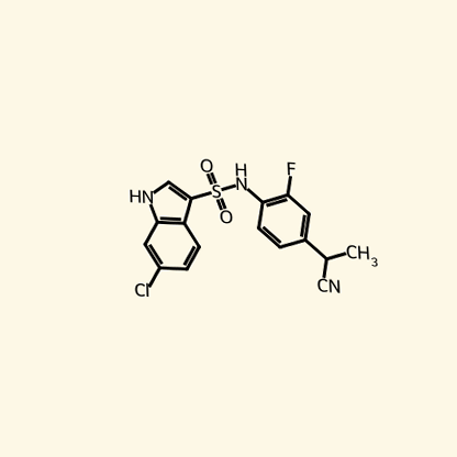 CC(C#N)c1ccc(NS(=O)(=O)c2c[nH]c3cc(Cl)ccc23)c(F)c1